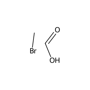 CBr.O=CO